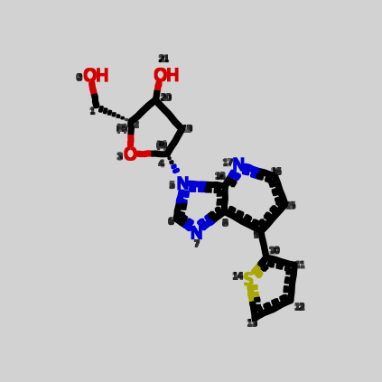 OC[C@H]1O[C@@H](n2cnc3c(-c4cccs4)ccnc32)CC1O